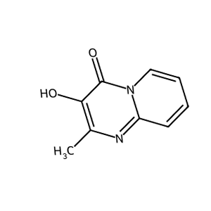 Cc1nc2ccccn2c(=O)c1O